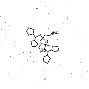 CCC(C)CCC(C)(CC(C1CCCC1)C1CCCC1)OC(C)(CCC(C)CC)CC(C1CCCC1)C1CCCC1